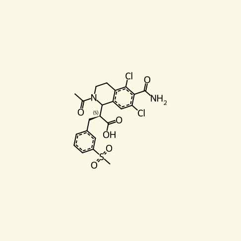 CC(=O)N1CCc2c(cc(Cl)c(C(N)=O)c2Cl)C1[C@H](Cc1cccc(S(C)(=O)=O)c1)C(=O)O